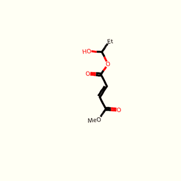 CCC(O)OC(=O)C=CC(=O)OC